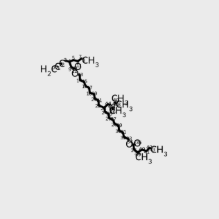 C=C=C=CC(CCCC)CC(=O)OCCCCCCCCCCC(CCCCCCCCCCOC(=O)CC(C)CCCC)CN(C)C(C)C